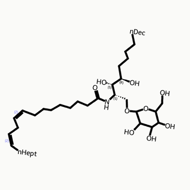 CCCCCCC/C=C\C/C=C\CCCCCCCC(=O)N[C@@H](COC1OC(CO)C(O)C(O)C1O)[C@H](O)[C@H](O)CCCCCCCCCCCCCC